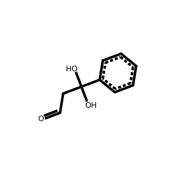 O=CCC(O)(O)c1ccccc1